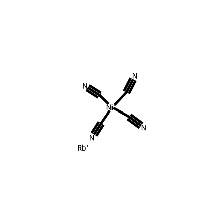 N#[C][Ni-]([C]#N)([C]#N)[C]#N.[Rb+]